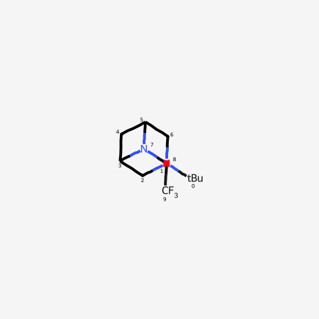 CC(C)(C)N1CC2CC(C1)N2CC(F)(F)F